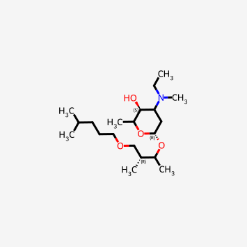 CCN(C)C1C[C@H](OC(C)[C@H](C)COCCCC(C)C)OC(C)[C@H]1O